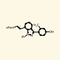 CCCCC/C=C/c1cccc2c(-c3ccc(O)cc3C)nn(C(C)C)c12